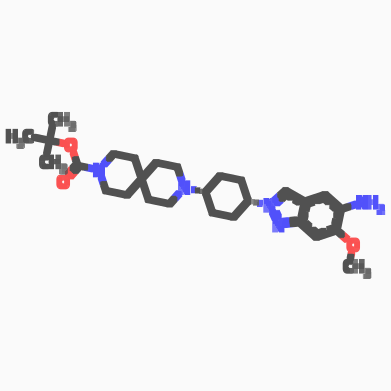 COc1cc2nn([C@H]3CC[C@@H](N4CCC5(CCN(C(=O)OC(C)(C)C)CC5)CC4)CC3)cc2cc1N